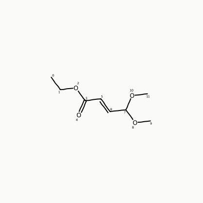 CCOC(=O)/C=C/C(OC)OC